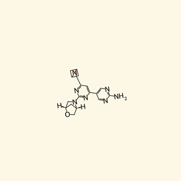 Nc1ncc(-c2cc(N3CC4CC3C4)nc(N3C[C@@H]4C[C@H]3CO4)n2)cn1